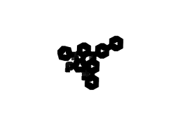 COc1cc(OC)c2c(c1)c1c(N(c3ccc(-c4ccccc4)cc3)c3ccc(-c4ccccc4)cc3)cccc1n2-c1ccccc1